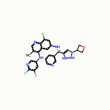 N#Cc1cnc2c(Cl)cc(N[C@H](C3=CN(C4COC4)NN3)c3cccnc3)cc2c1Nc1cnc(F)c(F)c1